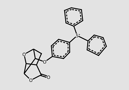 O=C1OC2C(Oc3ccc([S+](c4ccccc4)c4ccccc4)cc3)C3CC1C2O3